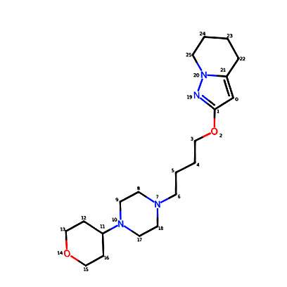 c1c(OCCCCN2CCN(C3CCOCC3)CC2)nn2c1CCCC2